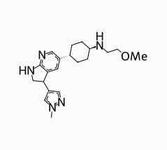 COCCN[C@H]1CC[C@H](c2cnc3c(c2)C(c2cnn(C)c2)CN3)CC1